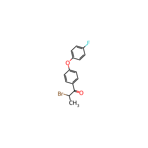 CC(Br)C(=O)c1ccc(Oc2ccc(F)cc2)cc1